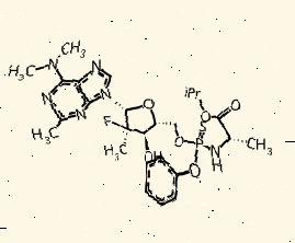 Cc1nc(N(C)C)c2ncn([C@@H]3O[C@H](CO[P@@](=S)(N[C@@H](C)C(=O)OC(C)C)Oc4ccccc4)[C@@H](O)[C@@]3(C)F)c2n1